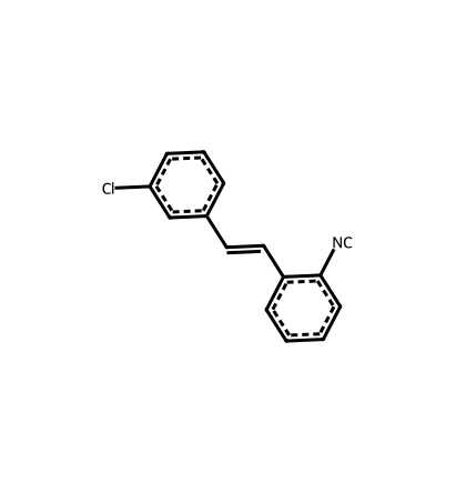 [C-]#[N+]c1ccccc1C=Cc1cccc(Cl)c1